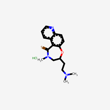 CN(C)CCC1CN(C)C(=S)c2c(ccc3ncccc23)O1.Cl